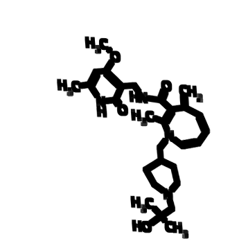 C=C1/C=C\C=C/N(CC2CCN(CC(C)(C)O)CC2)/C(C)=C\1C(=O)NCc1c(OC)cc(C)[nH]c1=O